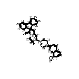 COc1cccc2ccc(N3CCN(CCCCC4(C(=O)NCC(F)(F)F)c5ccccc5-c5ccccc54)CC3)nc12